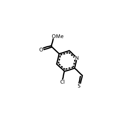 COC(=O)c1cnc(C=S)c(Cl)c1